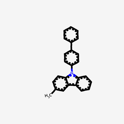 Cc1ccc2c(c1)c1ccccc1n2-c1ccc(-c2ccccc2)cc1